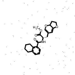 COC(=O)[C@H](CC1=COC2CCOC2=C1)NC(=O)c1cccc2c1CCCC2